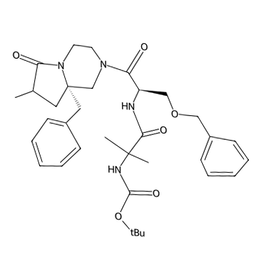 CC1C[C@]2(Cc3ccccc3)CN(C(=O)[C@@H](COCc3ccccc3)NC(=O)C(C)(C)NC(=O)OC(C)(C)C)CCN2C1=O